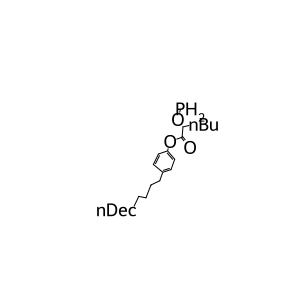 CCCCCCCCCCCCCCc1ccc(OC(=O)C(CCCC)OP)cc1